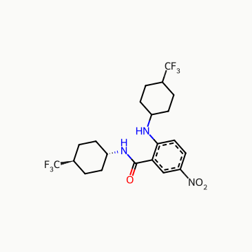 O=C(N[C@H]1CC[C@H](C(F)(F)F)CC1)c1cc([N+](=O)[O-])ccc1NC1CCC(C(F)(F)F)CC1